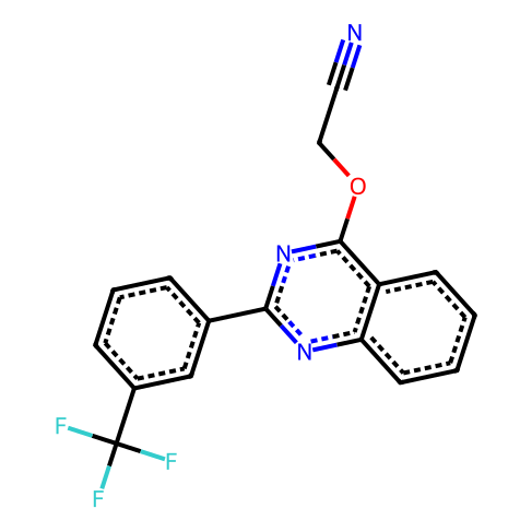 N#CCOc1nc(-c2cccc(C(F)(F)F)c2)nc2ccccc12